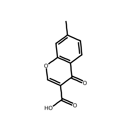 Cc1ccc2c(=O)c(C(=O)O)coc2c1